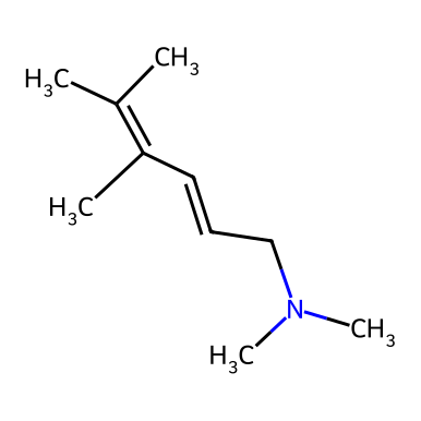 CC(C)=C(C)C=CCN(C)C